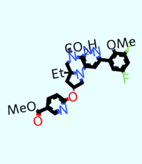 CC[C@]12C[C@@H](Oc3ccc(C(=O)OC)cn3)CN1c1cc(-c3cc(F)cc(F)c3OC)nnc1N(C(=O)O)C2